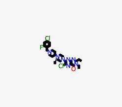 CCc1nc2nc(N3CCN(C4CCN(Cc5ccc(Cl)cc5F)CC4)[C@@H](CC)C3)c(Cl)nc2c(=O)n1CC